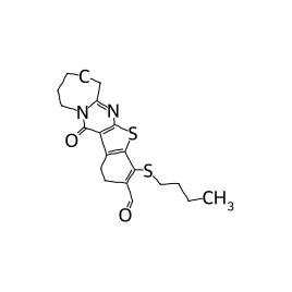 CCCCSC1=C(C=O)CCc2c1sc1nc3n(c(=O)c21)CCCCC3